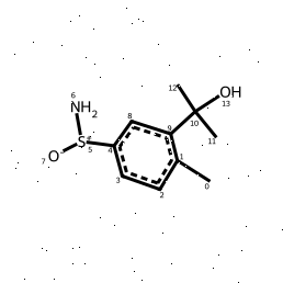 Cc1ccc([S+](N)[O-])cc1C(C)(C)O